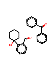 O=C(c1ccccc1)c1ccccc1.O=Cc1ccccc1C1(O)CCCCC1